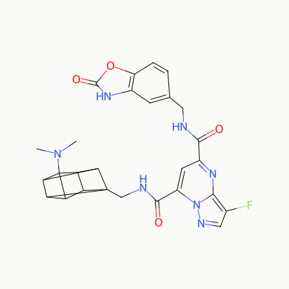 CN(C)C12C3C4C1C1C2C3C41CNC(=O)c1cc(C(=O)NCc2ccc3oc(=O)[nH]c3c2)nc2c(F)cnn12